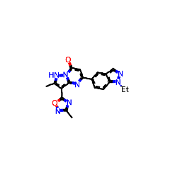 CCn1ncc2cc(-c3cc(=O)n4[nH]c(C)c(-c5nc(C)no5)c4n3)ccc21